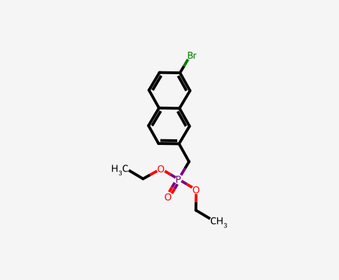 CCOP(=O)(Cc1ccc2ccc(Br)cc2c1)OCC